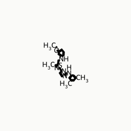 CCOc1cccc(NCc2sc(-c3ccnc(Nc4cc(C)cc(C)c4)n3)nc2C)c1